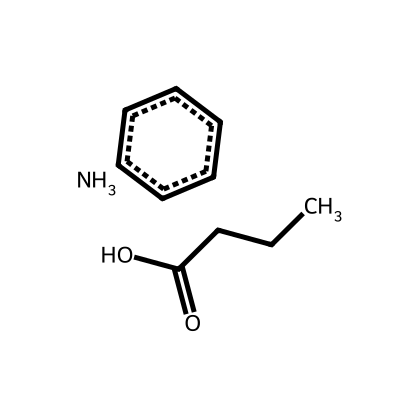 CCCC(=O)O.N.c1ccccc1